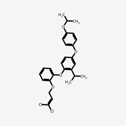 CC(C)Oc1ccc(Oc2ccc(Oc3ccccc3OCC=C(Cl)Cl)c(C(C)C)c2)cc1